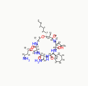 CCCCCC[C@H]1OC[C@@H](C)NC(=O)[C@H](CO[C@@H](C)CCN)NC(=O)[C@H](CN)NC(=O)[C@H](C2CCCCCC2)NC(O)[C@H](CCC)N(C)C(=O)[C@@H]1C